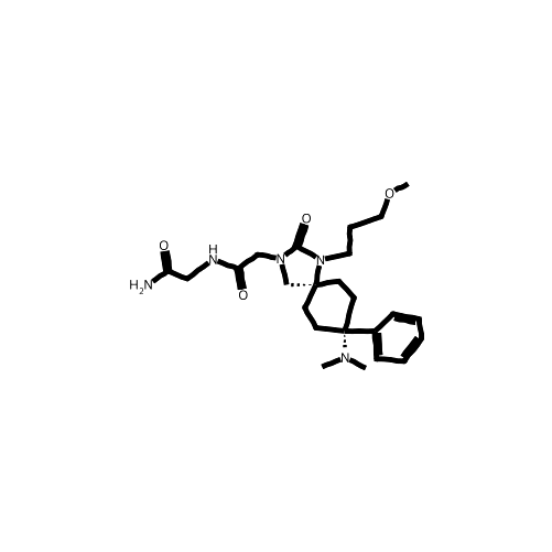 COCCCN1C(=O)N(CC(=O)NCC(N)=O)C[C@]12CC[C@@](c1ccccc1)(N(C)C)CC2